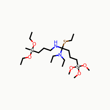 CCO[Si](C)(CCCNC(CCC[Si](OC)(OC)OC)(SCC)N(CC)CC)OCC